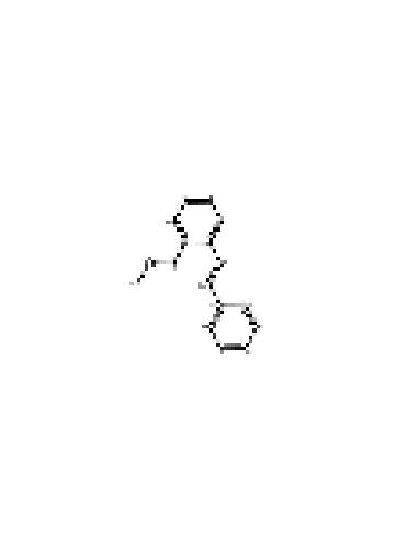 [CH2]OCc1ccccc1C=Cc1ccccc1